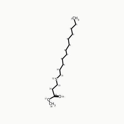 CCCCCCCCCCCCSCCC(=O)OC